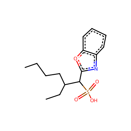 CCCCC(CC)C(c1nc2ccccc2o1)S(=O)(=O)O